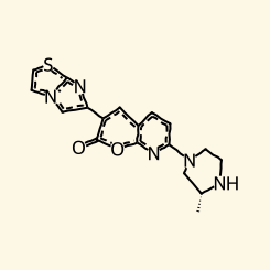 C[C@@H]1CN(c2ccc3cc(-c4cn5ccsc5n4)c(=O)oc3n2)CCN1